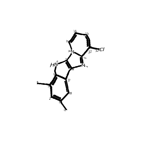 Cc1cc(C)c2[nH]c3c(nc4c(Cl)cccn43)c2c1